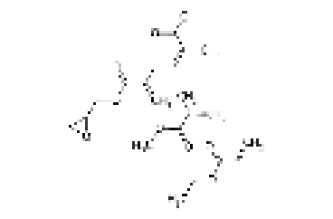 C=C(C)C(=O)OC.C=C(CC=C(C)C(=O)O)C(=O)OCC1CO1.C=CC(=O)OCC